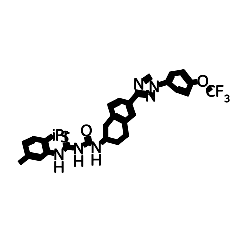 Cc1ccc(C(C)C)c(NC(=S)NC(=O)NC2CCc3cc(-c4ncn(-c5ccc(OC(F)(F)F)cc5)n4)ccc3C2)c1